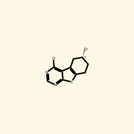 CC[C@@H]1CCc2sc3ncnc(Cl)c3c2C1